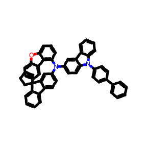 c1ccc(-c2ccc(-n3c4ccccc4c4cc(N(c5ccc6c(c5)C5(CCCC5)c5ccccc5-6)c5cccc6oc7ccccc7c56)ccc43)cc2)cc1